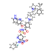 O=C(NS(=O)(=O)c1cnc(NCC2(F)CCCCC2)c([N+](=O)[O-])c1)c1ccc(N2CCC3(CC2)CC(N2CCC[C@@H]2c2ccccc2C2CC2)C3)cc1Oc1cnc2[nH]ccc2c1